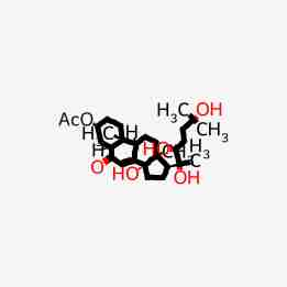 CC(=O)O[C@H]1CC[C@@]2(C)[C@H](C1)C(=O)C=C1[C@@H]2CC[C@]2(C)[C@@H](C(C)(O)C(O)CCC(C)(C)O)CC[C@@]12O